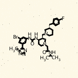 CC(C)NC(=O)CN1CC[C@@H](NC(=O)Nc2cc(Br)cc(-c3nnnn3C)c2)[C@@H](CN2CCC[C@@H](Cc3ccc(F)cc3)C2)C1